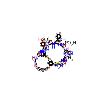 CC(C)C[C@@H]1NC(=O)/C=N/OCCCCCCOc2cc3cc(c2)CSC[C@H](NC1=O)C(=O)N[C@@H](Cc1ccc(O)cc1)C(=O)N[C@@H](CCC(=O)O)C(=O)N[C@@H](Cc1c[nH]c2ccccc12)C(=O)N[C@H](CCC(=O)O)C(=O)N[C@@H](Cc1cnc[nH]1)C(=O)N[C@@H](C)C(=O)N[C@H](C(N)=O)CSC3